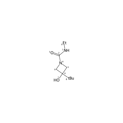 CCNC(=O)N1CC(O)(C(C)(C)C)C1